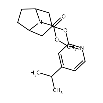 COC(=O)N1C2CCC1CC(Oc1cc(C(C)C)ccn1)C2